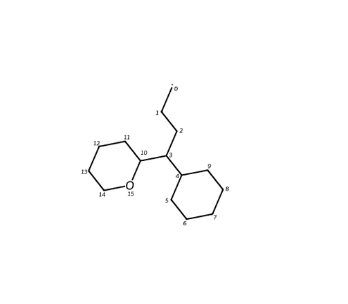 [CH2]CCC(C1CCCCC1)C1CCCCO1